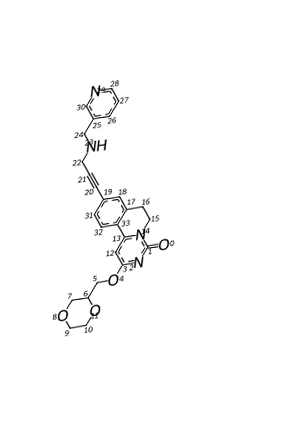 O=c1nc(OCC2COCCO2)cc2n1CCc1cc(C#CCNCc3cccnc3)ccc1-2